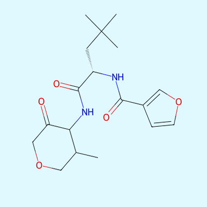 CC1COCC(=O)C1NC(=O)[C@H](CC(C)(C)C)NC(=O)c1ccoc1